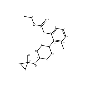 CCOC(=O)Cc1cccc(C)c1C1CCC(OC2(C)CC2)CC1